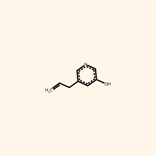 C=CCc1cncc(O)c1